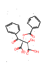 O=C(O[C@](C(=O)O)(C(=O)c1ccccc1)[C@@H](O)C(=O)O)c1ccccc1